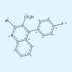 CCOC(=O)c1c(C(C)C)nc2ccccc2c1-c1ccc(F)cc1